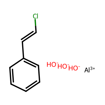 ClC=Cc1ccccc1.[Al+3].[OH-].[OH-].[OH-]